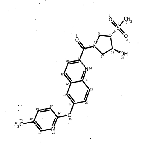 CS(=O)(=O)[C@H]1CN(C(=O)c2ccc3cc(Oc4ccc(C(F)(F)F)cn4)ccc3n2)C[C@@H]1O